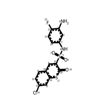 Nc1cc(NS(=O)(=O)c2cc3ccc(Cl)cc3sc2=O)ccc1F